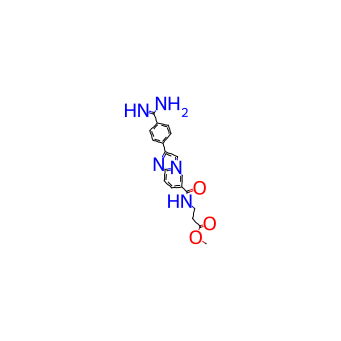 COC(=O)CCNC(=O)c1ccc2nc(-c3ccc(C(=N)N)cc3)cn2c1